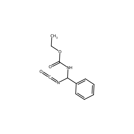 CCOC(=O)NC(N=C=O)c1ccccc1